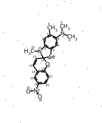 Cc1cc2c(cc1N(C)C)[Se]C1(C=Cc3cc([N+](=O)[O-])ccc3O1)N2C